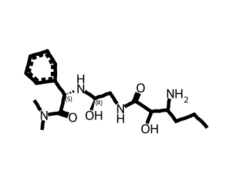 CCCC(N)C(O)C(=O)NC[C@@H](O)N[C@H](C(=O)N(C)C)c1ccccc1